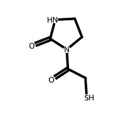 O=C(CS)N1CCNC1=O